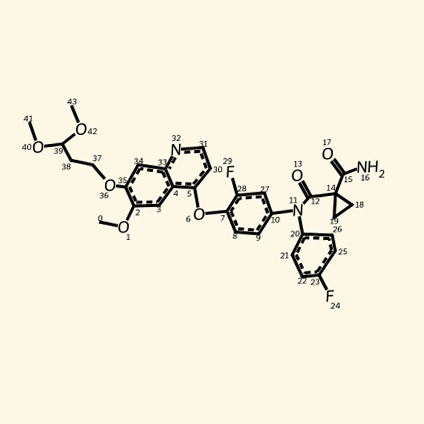 COc1cc2c(Oc3ccc(N(C(=O)C4(C(N)=O)CC4)c4ccc(F)cc4)cc3F)ccnc2cc1OCCC(OC)OC